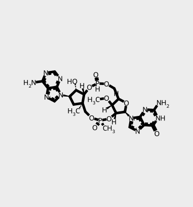 CO[C@H]1[C@H]2OP(C)(=O)OC[C@@]3(C)C[C@@H](n4cnc5c(N)ncnc54)[C@H](O)[C@@H]3O[PH](=O)OC[C@H]1O[C@H]2n1cnc2c(=O)[nH]c(N)nc21